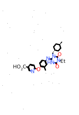 CCn1c(=O)[nH]/c(=N\c2ccc(Oc3ccc(C(=O)O)cn3)c(C)c2)n(C[C@H]2CC[C@H](C)CC2)c1=O